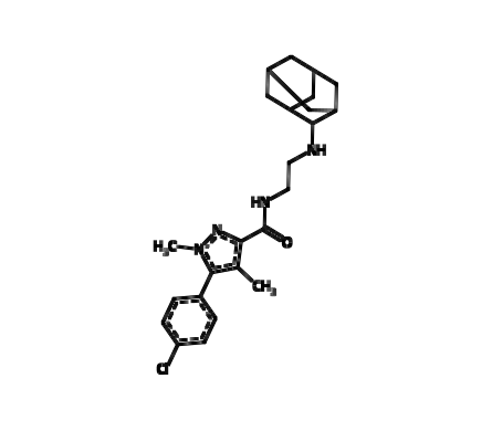 Cc1c(C(=O)NCCNC2C3CC4CC(C3)CC2C4)nn(C)c1-c1ccc(Cl)cc1